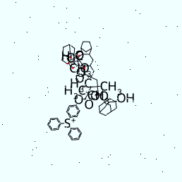 CC1C2CCC(C2)C1CC(CC(C)(CC(C)(CC(C)(C)C(=O)Oc1ccc([S+](c2ccccc2)c2ccccc2)cc1)C(=O)OC12CC3CC(CC(O)(C3)C1)C2)C(=O)OC1CCOC1=O)C(=O)CC1(C)C2CC3CC(C2)CC1C3